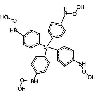 OOBc1ccc([Si](c2ccc(BOO)cc2)(c2ccc(BOO)cc2)c2ccc(BOO)cc2)cc1